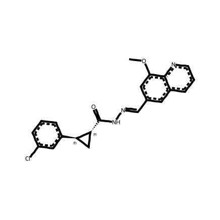 COc1cc(C=NNC(=O)[C@@H]2C[C@H]2c2cccc(Cl)c2)cc2cccnc12